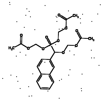 CC(=O)OCOC(c1ccc2ccccc2c1)P(=O)(OCOC(C)=O)OCOC(C)=O